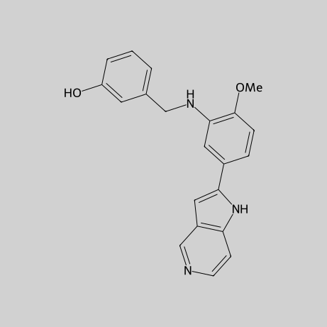 COc1ccc(-c2cc3cnccc3[nH]2)cc1NCc1cccc(O)c1